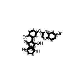 CCc1ccc(Oc2cnc3ccc(Br)cc3n2)cc1C1=C(O)C2C(C1=O)[C@H]1CC[C@@H]2CC1